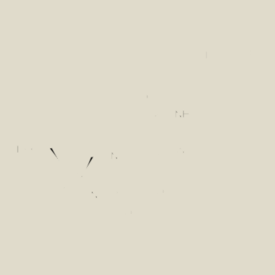 CCCCOc1c2n(cc(C(=O)NCc3cccc(Cl)c3F)c1=O)C[C@]1(C[C@H]1CO)N(CC)C2=O